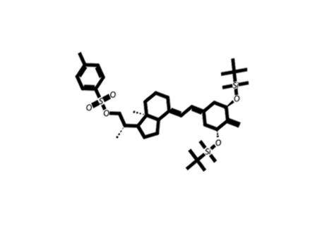 C=C1[C@H](O[Si](C)(C)C(C)(C)C)CC(=C/C=C2\CCC[C@@]3(C)C2CCC3[C@H](C)COS(=O)(=O)c2ccc(C)cc2)C[C@H]1O[Si](C)(C)C(C)(C)C